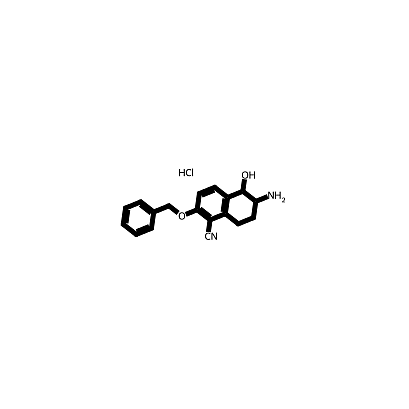 Cl.N#Cc1c(OCc2ccccc2)ccc2c1CCC(N)C2O